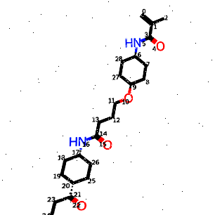 C=C(C)C(=O)N[C@H]1CC[C@@H](OCCCC(=O)N[C@H]2CC[C@@H](C(=O)CC)CC2)CC1